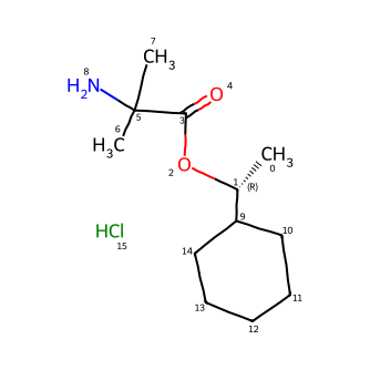 C[C@@H](OC(=O)C(C)(C)N)C1CCCCC1.Cl